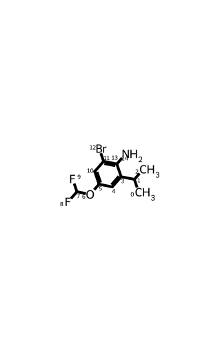 CC(C)c1cc(OC(F)F)cc(Br)c1N